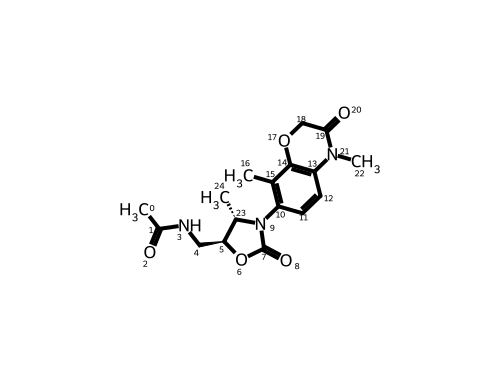 CC(=O)NC[C@@H]1OC(=O)N(c2ccc3c(c2C)OCC(=O)N3C)[C@H]1C